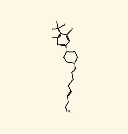 CCC/C=C/CCCC[C@H]1CC[C@H](c2cc(F)c(C(F)(F)F)c(F)c2)CC1